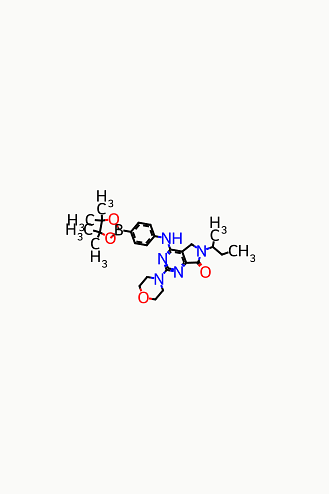 CCC(C)N1Cc2c(Nc3ccc(B4OC(C)(C)C(C)(C)O4)cc3)nc(N3CCOCC3)nc2C1=O